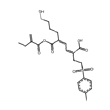 C=C(CC)C(=O)OC(=O)C(=CC=C(CCS(=O)(=O)c1ccc(C)cc1)C(=O)O)CCCCO